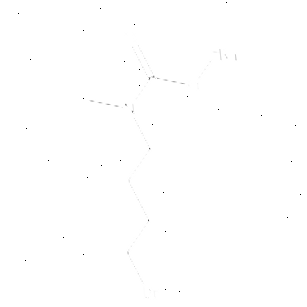 CN(CCCCBr)C(=O)OC(C)(C)C